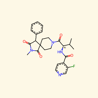 CC(C)[C@@H](NC(=O)c1ccncc1F)C(=O)N1CCC2(CC1)C(=O)N(C)C(=O)C2c1ccccc1